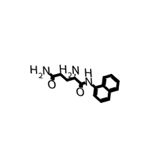 NC(=O)CC[C@H](N)C(=O)Nc1cccc2ccccc12